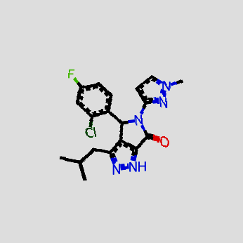 CC(C)Cc1n[nH]c2c1C(c1ccc(F)cc1Cl)N(c1ccn(C)n1)C2=O